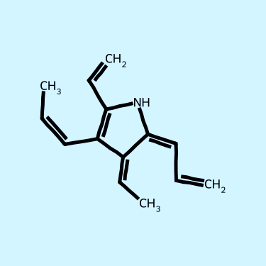 C=C/C=c1/[nH]c(C=C)c(/C=C\C)/c1=C/C